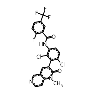 Cn1c(=O)c(-c2c(Cl)ccc(NC(=O)c3cc(C(F)(F)F)ccc3F)c2Cl)cc2cnccc21